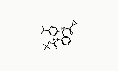 CC(C)c1ccc(C(NC(=O)C2CC2)c2ccccc2NC(=O)OC(C)(C)C)cc1